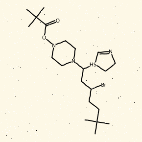 CC(C)(C)CCC(Br)CC(N1CCN(OC(=O)C(C)(C)C)CC1)[SH]1C=NCC1